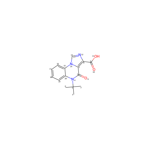 CC(C)(C)n1c(=O)c2c(C(=O)O)ncn2c2ccccc21